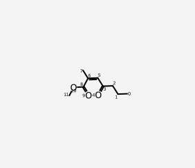 CCCC(=O)C=C(C)C(=O)OC